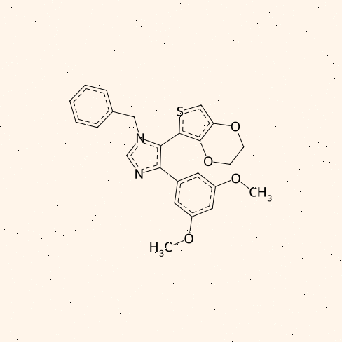 COc1cc(OC)cc(-c2ncn(Cc3ccccc3)c2-c2scc3c2OCCO3)c1